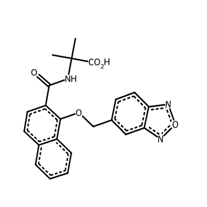 CC(C)(NC(=O)c1ccc2ccccc2c1OCc1ccc2nonc2c1)C(=O)O